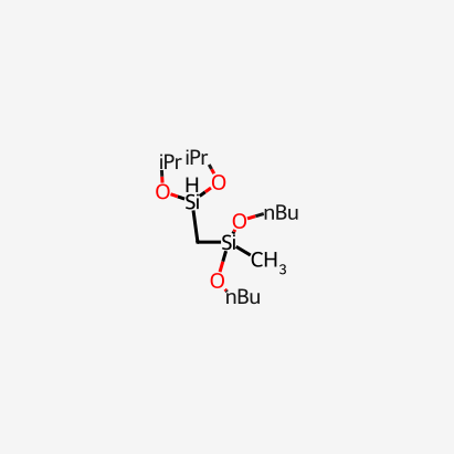 CCCCO[Si](C)(C[SiH](OC(C)C)OC(C)C)OCCCC